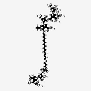 Cc1nc(N)c2c(C(N)=O)cn([C@@H]3O[C@H](COP(=O)(O)OCCCOCCCCCCCCCCCCCCCNc4nc(C(F)(F)F)nc5c4c(C(N)=O)cn5[C@H]4O[C@H](CO)[C@@H](O)[C@H]4ONC(=O)c4cn([C@@H]5O[C@H](CO)[C@@H](O)[C@@]5(C)O)c5nc(C)nc(N)c45)[C@@H](O)[C@H]3O)c2n1